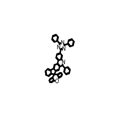 c1ccc(-c2nc(-c3ccccc3)nc(-c3ccc4c(c3)nc(-c3ccccc3)c3cc5c(cc34)-c3ccccc3C53c4ccccc4Oc4ccccc43)n2)cc1